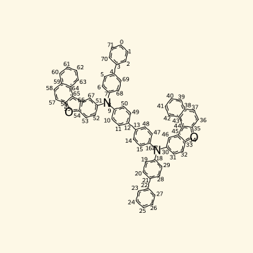 c1ccc(-c2ccc(N(c3ccc(-c4ccc(N(c5ccc(-c6ccccc6)cc5)c5ccc6oc7ccc8ccccc8c7c6c5)cc4)cc3)c3ccc4oc5ccc6ccccc6c5c4c3)cc2)cc1